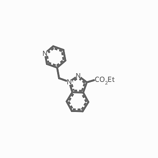 CCOC(=O)c1nn(Cc2cccnc2)c2ccccc12